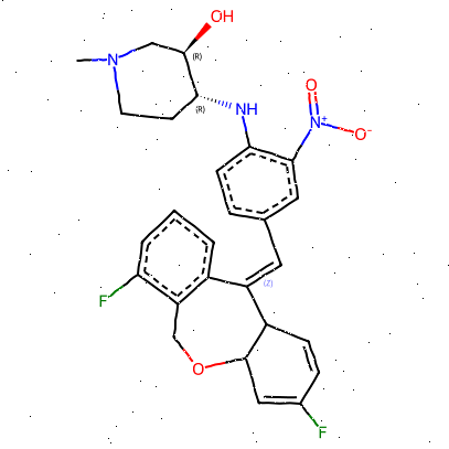 CN1CC[C@@H](Nc2ccc(/C=C3\c4cccc(F)c4COC4C=C(F)C=CC34)cc2[N+](=O)[O-])[C@H](O)C1